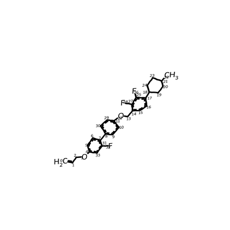 C=CCOc1ccc(-c2ccc(OCc3ccc(C4CCC(C)CC4)c(F)c3F)cc2)c(F)c1